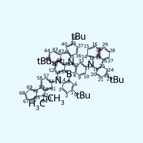 CC(C)(C)c1ccc2c(c1)B1c3ccc(N(c4ccccc4)c4ccc(C(C)(C)C)cc4-c4ccccc4)cc3N(c3ccc(C(C)(C)C)cc3-c3ccccc3)c3cc(C(C)(C)C)cc(c31)N2c1ccc2c(c1)C(C)(C)c1ccccc1-2